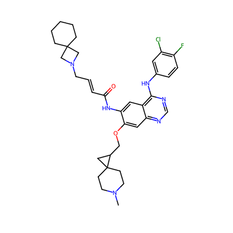 CN1CCC2(CC1)CC2COc1cc2ncnc(Nc3ccc(F)c(Cl)c3)c2cc1NC(=O)/C=C/CN1CC2(CCCCC2)C1